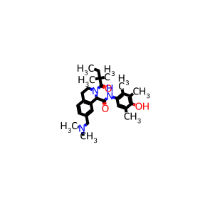 CCC(C)(C)C(=O)N1CCc2ccc(CN(C)C)cc2C1C(=O)Nc1cc(C)c(O)c(C)c1C